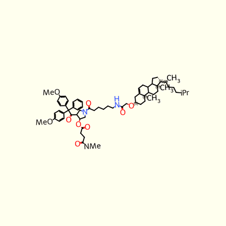 CNC(=O)CCC(=O)OC1CN(C(=O)CCCCCNC(=O)CO[C@H]2CC[C@@]3(C)C(=CCC4C3CC[C@@]3(C)C4CC[C@@H]3[C@H](C)CCCC(C)C)C2)CC1C(=O)C(c1ccccc1)(c1ccc(OC)cc1)c1ccc(OC)cc1